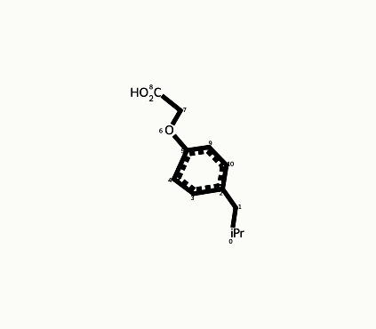 CC(C)Cc1ccc(OCC(=O)O)cc1